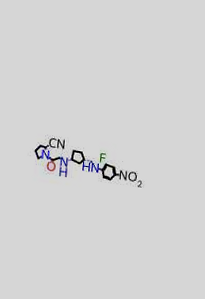 N#C[C@@H]1CCCN1C(=O)CN[C@@H]1CC[C@H](CNc2ccc([N+](=O)[O-])cc2F)C1